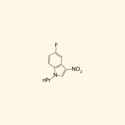 CCCn1cc([N+](=O)[O-])c2cc(F)ccc21